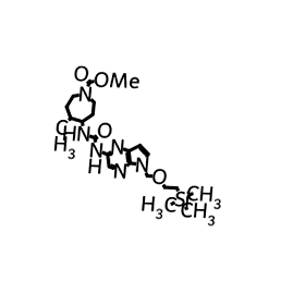 COC(=O)N1CCC(C)C(NC(=O)Nc2cnc3c(ccn3COCC[Si](C)(C)C)n2)CC1